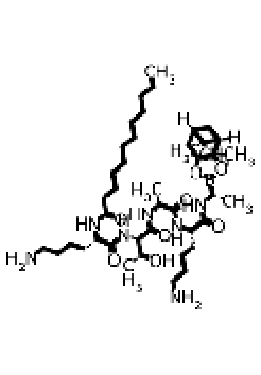 CCCCCCCCCCCC(=O)N[C@@H](CCCCN)C(=O)N[C@H](C(=O)N[C@@H](C)C(=O)N[C@@H](CCCCN)C(=O)N[C@@H](C)B1OC2C[C@@H]3C[C@@H](C3(C)C)[C@]2(C)O1)[C@@H](C)O